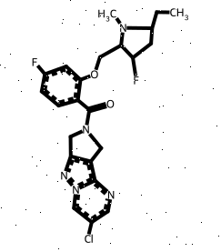 CCC1CC(F)C(COc2cc(F)ccc2C(=O)N2Cc3nn4cc(Cl)cnc4c3C2)N1C